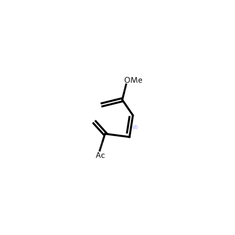 C=C(/C=C\C(=C)C(C)=O)OC